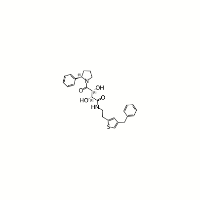 O=C(NCCc1cc(Cc2ccccc2)cs1)[C@H](O)[C@@H](O)C(=O)N1CCC[C@@H]1c1ccccc1